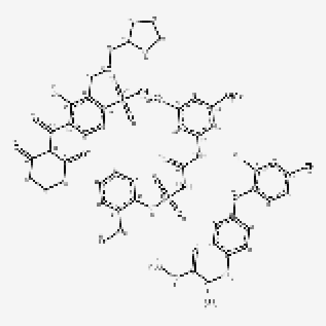 CCCCOC(=O)[C@@H](C)Oc1ccc(Oc2ccc(C#N)cc2F)cc1.CCOc1ccccc1OS(=O)(=O)NC(=O)Nc1nc(OC)cc(OC)n1.CS(=O)(=O)c1ccc(C(=O)C2C(=O)CCCC2=O)c(Cl)c1COCC1CCCO1